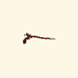 CCN(CC)c1ccc(NC(=O)c2cccc(CCCOCCOCCOCCOCCOCCOCCOCCOCCOC)c2)c(-c2cc(C(=O)N[C@H]3CCCc4ccccc43)ccn2)c1